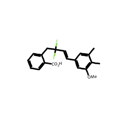 COc1cc(/C=C/C(F)(F)Cc2ccccc2C(=O)O)cc(C)c1C